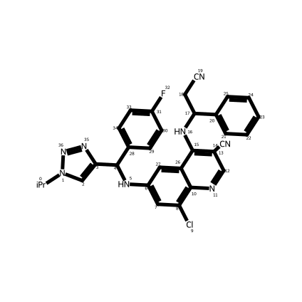 CC(C)n1cc(C(Nc2cc(Cl)c3ncc(C#N)c(NC(CC#N)c4ccccc4)c3c2)c2ccc(F)cc2)nn1